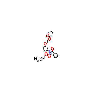 C=CCOc1ccc(OCCOC2CCCCO2)cc1N1C(=O)c2ccccc2C1=O